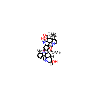 CC[C@]1(O)C[C@H]2C[C@](C(=O)OC)(c3cc4c(cc3OC)N(C)[C@H]3[C@@](O)(C(=O)OC)[C@H](OC(C)=O)[C@]5(CC)C=CCN6CC[C@]43[C@@H]65)C3=Nc4ccccc4[C@@]34CCN(C1)[C@@H]24